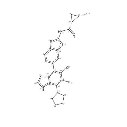 O=C(Nc1nc2ccc(-c3c(Cl)c(F)c(N4CCCC4)c4[nH]ncc34)cc2s1)[C@@H]1C[C@@H]1F